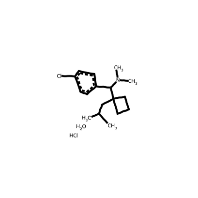 CC(C)CC1(C(c2ccc(Cl)cc2)N(C)C)CCC1.Cl.O